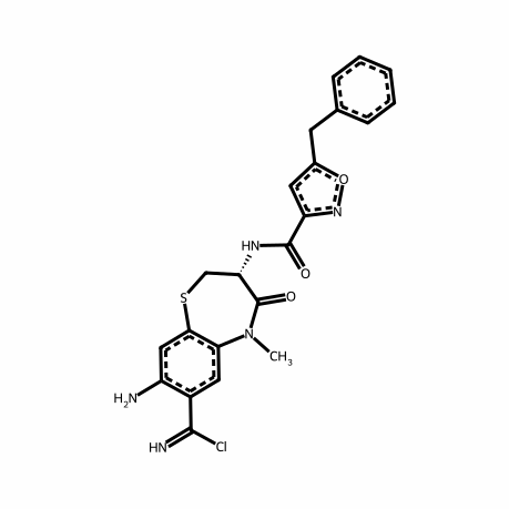 CN1C(=O)[C@@H](NC(=O)c2cc(Cc3ccccc3)on2)CSc2cc(N)c(C(=N)Cl)cc21